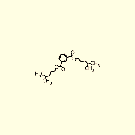 CC(C)CCCOC(=O)c1cccc(C(=O)OCCCC(C)C)c1